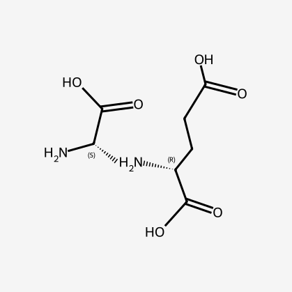 C[C@H](N)C(=O)O.N[C@H](CCC(=O)O)C(=O)O